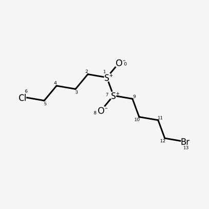 [O-][S+](CCCCCl)[S+]([O-])CCCCBr